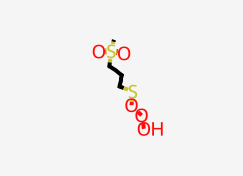 CS(=O)(=O)CCCSOOO